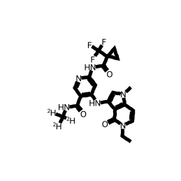 [2H]C([2H])([2H])NC(=O)c1cnc(NC(=O)C2(C(F)(F)F)CC2)cc1Nc1cn(C)c2ccn(CC)c(=O)c12